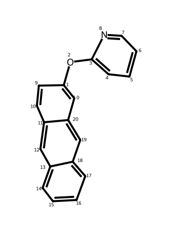 [c]1c(Oc2ccccn2)ccc2cc3ccccc3cc12